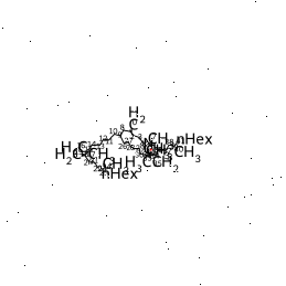 C=C(CCCN(C)C)CC(CCCCCC(C)(C)C(=C)CCCC(C)CCCCCC)CCCCCC(C)(C)C(=C)CCCC(C)CCCCCC